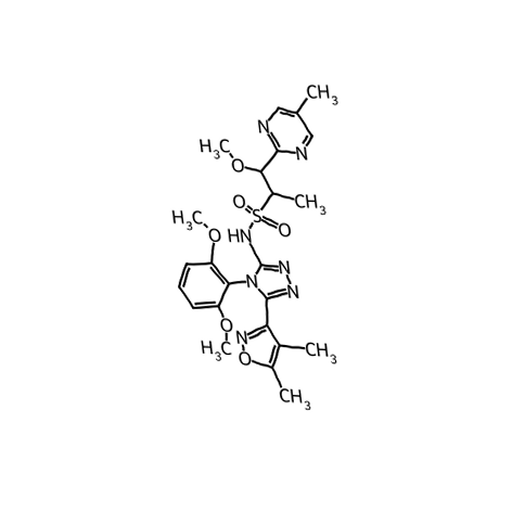 COc1cccc(OC)c1-n1c(NS(=O)(=O)C(C)C(OC)c2ncc(C)cn2)nnc1-c1noc(C)c1C